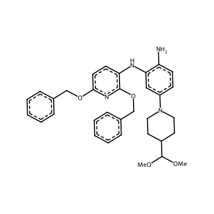 COC(OC)C1CCN(c2ccc(N)c(Nc3ccc(OCc4ccccc4)nc3OCc3ccccc3)c2)CC1